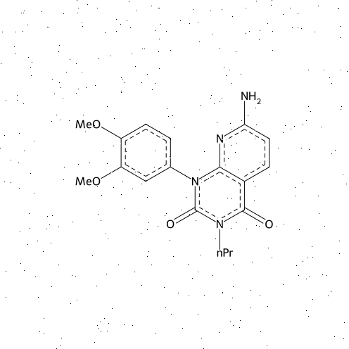 CCCn1c(=O)c2ccc(N)nc2n(-c2ccc(OC)c(OC)c2)c1=O